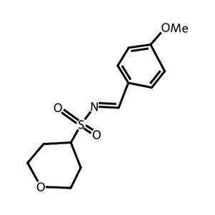 COc1ccc(C=NS(=O)(=O)C2CCOCC2)cc1